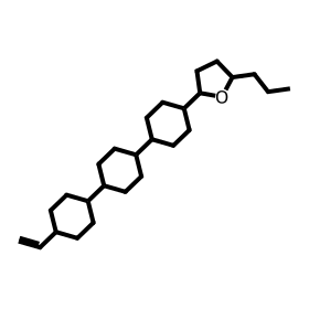 C=CC1CCC(C2CCC(C3CCC(C4CCC(CCC)O4)CC3)CC2)CC1